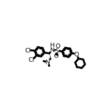 CN(C)C[C@@H](NS(=O)(=O)c1ccc(OC2CCCCC2)cc1)c1ccc(Cl)c(Cl)c1